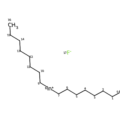 CCCCCCC[CH2][In+][CH2]CCCCCCC.[F-]